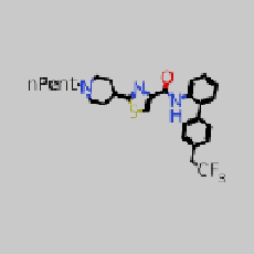 CCCCCN1CCC(c2nc(C(=O)Nc3ccccc3-c3ccc(CC(F)(F)F)cc3)cs2)CC1